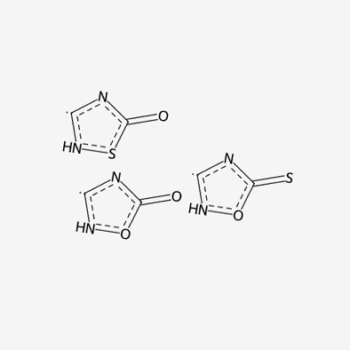 O=c1n[c][nH]o1.O=c1n[c][nH]s1.S=c1n[c][nH]o1